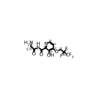 C[C@H](N)C(=O)NC(=O)c1nccc(OCC(F)(F)C(F)(F)F)c1O